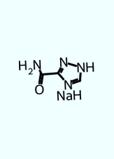 NC(=O)c1nc[nH]n1.[NaH]